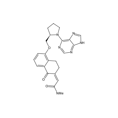 CNC(=O)/C=C1/CCc2c(OC[C@H]3CCCN3c3ncnc4[nH]cnc34)cccc2C1=O